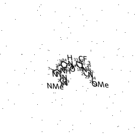 CNc1cc(-n2nc(C)cc2Nc2cc(NC(=O)c3cc(N4CCN(CCOC)CC4C)cc(C(F)(F)F)c3)ccc2C)ncn1